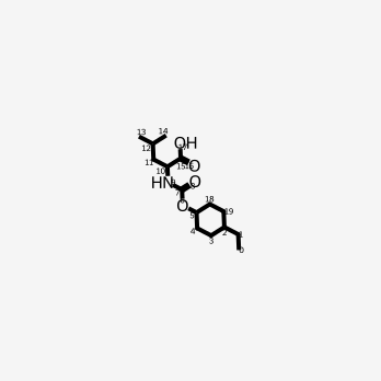 CCC1CCC(OC(=O)NC(CC(C)C)C(=O)O)CC1